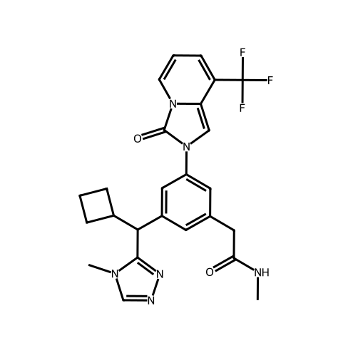 CNC(=O)Cc1cc(C(c2nncn2C)C2CCC2)cc(-n2cc3c(C(F)(F)F)cccn3c2=O)c1